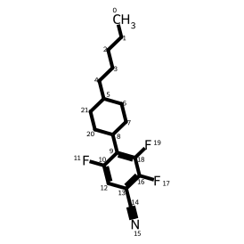 CCCCCC1CCC(c2c(F)cc(C#N)c(F)c2F)CC1